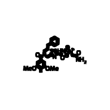 COc1cc(C(=O)N(CCCc2ccccc2)Cc2nc(C(=O)NS(=O)(=O)N(C)CC(N)=O)cs2)cc(OC)c1C